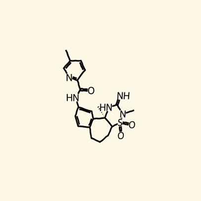 Cc1ccc(C(=O)Nc2ccc3c(c2)[C@@]2(C)NC(=N)N(C)S(=O)(=O)C2CCC3)nc1